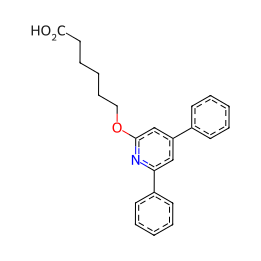 O=C(O)CCCCCOc1cc(-c2ccccc2)cc(-c2ccccc2)n1